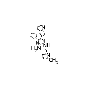 Cc1cccc(CCNc2nc(-c3ccc4ncccc4c3)c(-c3ccccc3)nc2N)n1